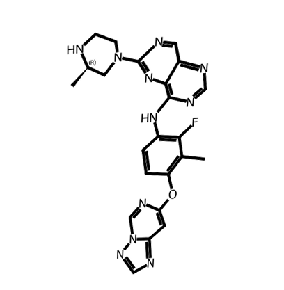 Cc1c(Oc2cc3ncnn3cn2)ccc(Nc2ncnc3cnc(N4CCN[C@H](C)C4)nc23)c1F